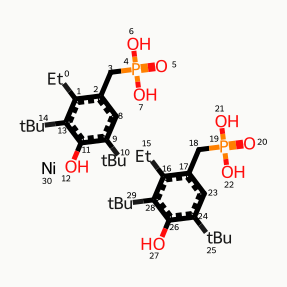 CCc1c(CP(=O)(O)O)cc(C(C)(C)C)c(O)c1C(C)(C)C.CCc1c(CP(=O)(O)O)cc(C(C)(C)C)c(O)c1C(C)(C)C.[Ni]